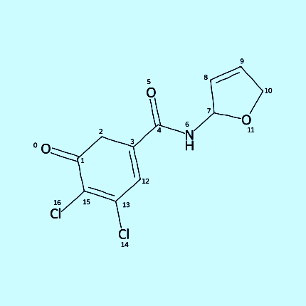 O=C1CC(C(=O)NC2C=CCO2)=CC(Cl)=C1Cl